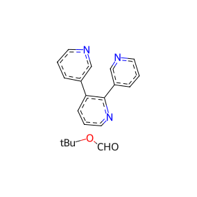 CC(C)(C)OC=O.c1cncc(-c2cccnc2-c2cccnc2)c1